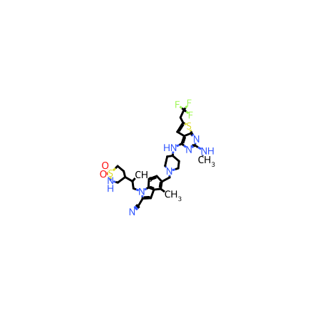 CNc1nc(NC2CCN(Cc3ccc4c(cc(C#N)n4CC(C)C4CCS(=O)(=O)NC4)c3C)CC2)c2cc(CC(F)(F)F)sc2n1